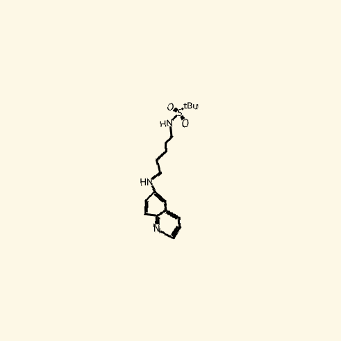 CC(C)(C)S(=O)(=O)NCCCCCNc1ccc2ncccc2c1